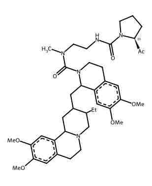 CCC1CN2CCc3cc(OC)c(OC)cc3C2CC1CC1c2cc(OC)c(OC)cc2CCN1C(=O)N(C)CCNC(=O)N1CCC[C@H]1C(C)=O